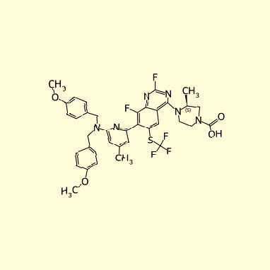 COc1ccc(CN(Cc2ccc(OC)cc2)c2cc(C)cc(-c3c(SC(F)(F)F)cc4c(N5CCN(C(=O)O)C[C@@H]5C)nc(F)nc4c3F)n2)cc1